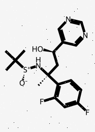 CC(C)(C)[S@@+]([O-])N[C@@](C)(C[C@@H](O)c1cncnc1)c1ccc(F)cc1F